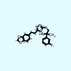 CC1(c2cccc(F)c2)CSc2nnc(CCc3ccc4c(c3)OCO4)n2N1